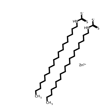 CCCCCCCCCCCCCCCCCCCNC(=S)[S-].CCCCCCCCCCCCCCCCCCCNC(=S)[S-].[Zn+2]